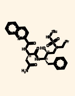 CC(C)CN(C[C@@H](O)[C@H](Cc1ccccc1)NC(=O)[C@H](CC(N)=O)NC(=O)c1ccc2ccccc2n1)S(=O)(=O)NC(C)(C)C